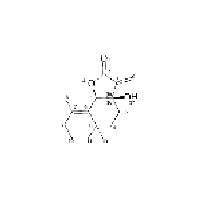 C=C1C(=O)OC2C3=C(C)CCCC3(C)CC[C@@]12O